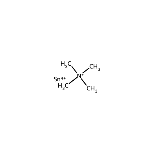 C[N+](C)(C)C.[Sn+4]